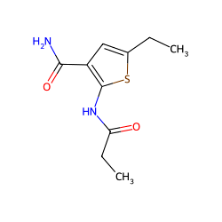 CCC(=O)Nc1sc(CC)cc1C(N)=O